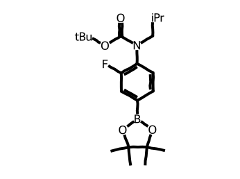 CC(C)CN(C(=O)OC(C)(C)C)c1ccc(B2OC(C)(C)C(C)(C)O2)cc1F